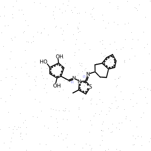 Cc1cs/c(=N\C2CCc3ccccc3C2)n1/N=C/c1cc(O)c(O)cc1O